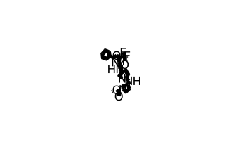 COC(=O)N1CCC(Nc2ccc(NC(=O)c3nc(-c4ccccc4)oc3C(F)(F)F)cn2)C1